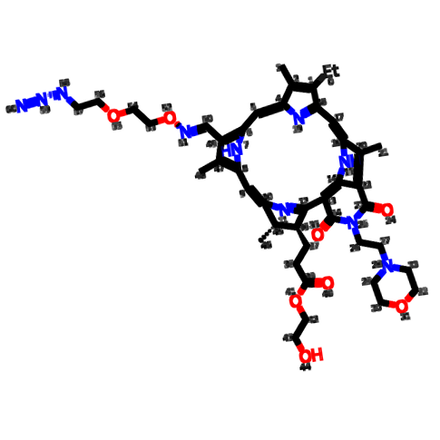 CCC1=C(C)c2cc3[nH]c(cc4nc(c5c6[nH]c(cc1n2)c(C)c6C(=O)N(CCN1CCOCC1)C5=O)[C@@H](CCC(=O)OCCO)[C@@H]4C)c(C)c3/C=N/OCCOCCN=[N+]=[N-]